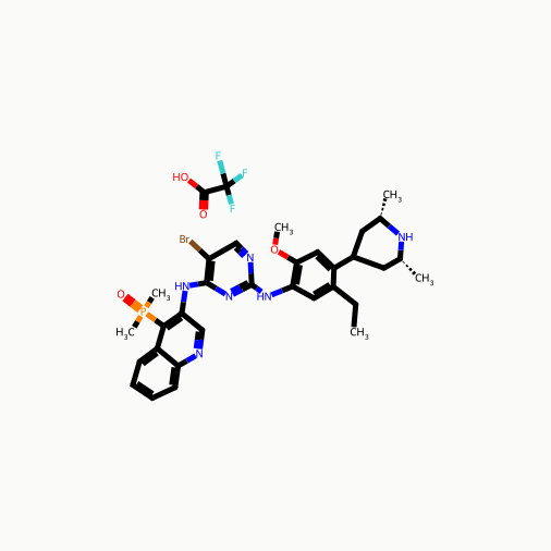 CCc1cc(Nc2ncc(Br)c(Nc3cnc4ccccc4c3P(C)(C)=O)n2)c(OC)cc1C1C[C@@H](C)N[C@@H](C)C1.O=C(O)C(F)(F)F